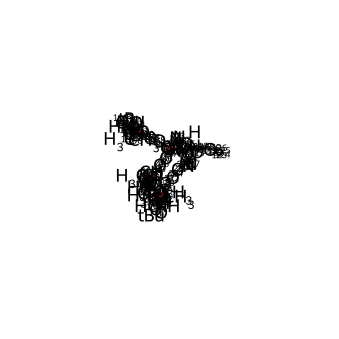 CC(C)(C)OC(=O)N[C@@H]1[C@H]2OC(C)(C)O[C@H]2[C@@](C)(COCCOCCOCCOCCn2cc(COCC(COCc3cn(CCOCCOCCOCCOC[C@@]45COC(O4)[C@H](NC(=O)OC(C)(C)C)[C@H]4OC(C)(C)O[C@H]45)nn3)(COCc3cn(CCOCCOCCOCCOC[C@@]45COC(O4)[C@H](NC(=O)OC(C)(C)C)[C@H]4OC(C)(C)O[C@H]45)nn3)NC(=O)CCCOCc3ccccc3)nn2)O[C@@H]1O